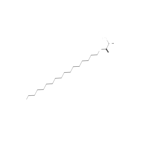 CCCCCCCCCCCCCCCCCOC(=O)[C@H](C)N